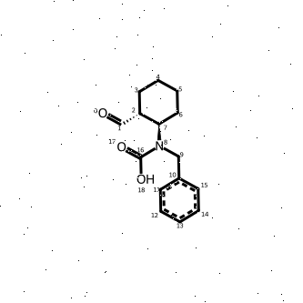 O=C[C@@H]1CCCC[C@H]1N(Cc1ccccc1)C(=O)O